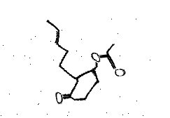 CC=CCCC1C(=O)CCC1OC(C)=O